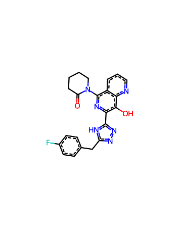 O=C1CCCCN1c1nc(-c2nnc(Cc3ccc(F)cc3)[nH]2)c(O)c2ncccc12